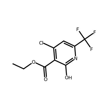 CCOC(=O)c1c(Cl)cc(C(F)(F)F)nc1O